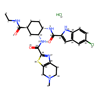 CCNC(=O)[C@H]1CC[C@H](NC(=O)c2cc3cc(Cl)ccc3[nH]2)[C@H](NC(=O)c2nc3c(s2)CN(C)CC3)C1.Cl